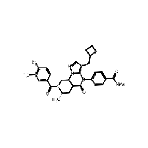 CNC(=O)c1ccc(N2C(=O)C3C[C@H](C)N(C(=O)c4ccc(Br)c(C(F)(F)F)c4)CC3n3ncc(CC4CCC4)c32)cc1